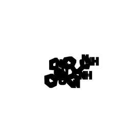 O=S(=O)(Nc1ccnc2[nH]c(-c3cn[nH]c3)c(-c3cccc(N4CCCC4)c3)c12)c1ccccc1